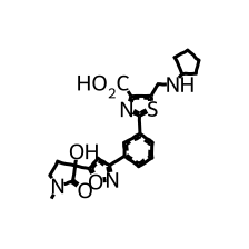 CN1CCC(O)(c2cc(-c3cccc(-c4nc(C(=O)O)c(CNC5CCCC5)s4)c3)no2)C1=O